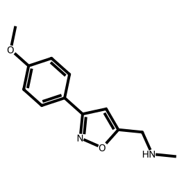 CNCc1cc(-c2ccc(OC)cc2)no1